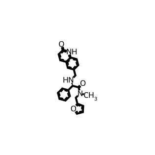 CN(Cc1ccco1)C(=O)[C@H](NCc1ccc2[nH]c(=O)ccc2c1)c1ccccc1